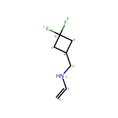 C=CNCC1CC(F)(F)C1